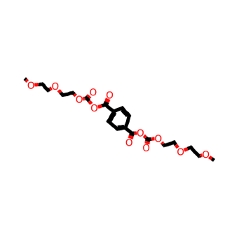 COCCOCCOC(=O)OC(=O)c1ccc(C(=O)OC(=O)OCCOCCOC)cc1